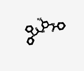 CC1=CC(NC(=O)c2ccccc2)CC(NC(=O)CN(c2ccccc2)c2ccccc2)=C1